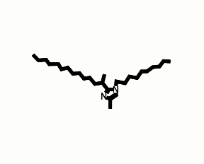 CCCCCCCCCCCCC(C)c1nc(C)cn1CCCCCCCCCC